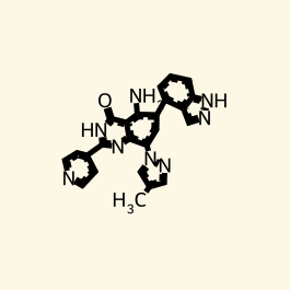 Cc1cnn(-c2cc(-c3cccc4[nH]ncc34)c(N)c3c(=O)[nH]c(-c4ccncc4)nc23)c1